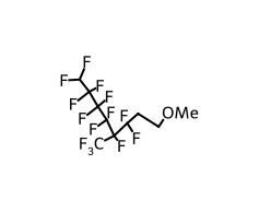 COCCC(F)(F)C(F)(C(F)(F)F)C(F)(F)C(F)(F)C(F)(F)C(F)F